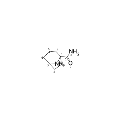 NC(=O)C12C[CH]CC(CC1)N2